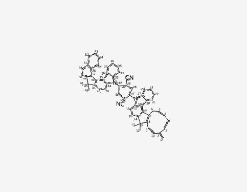 C=C1/C=C\C=C/CC2=C(/C=C\1)C(C)(C)c1ccc3c(c12)c1ccccc1n3-c1cc(C#N)c(-n2c3ccccc3c3c4c(ccc32)C(C)(C)c2ccc3ccccc3c2-4)cc1C#N